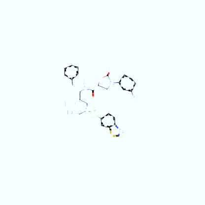 CC[C@H](C)CN(C[C@@H](O)[C@H](Cc1ccccc1)NC(=O)[C@@H]1CN(c2cccc(C(C)=O)c2)C(=O)O1)S(=O)(=O)c1ccc2ncsc2c1